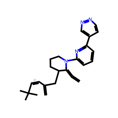 C=C=C1C(CC(=C)/C=C\C(C)(C)C)CCCN1c1cccc(-c2ccnnc2)n1